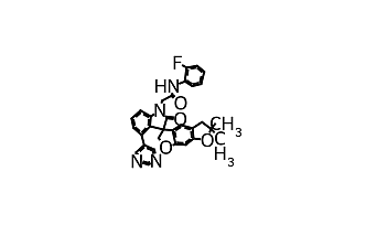 CC1(C)Cc2cc3c(cc2O1)OCC31C(=O)N(CC(=O)Nc2ccccc2F)c2cccc(-c3cncnc3)c21